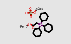 CCCCCCCCOS(=O)(=O)[O-].CCCCCOC(=O)C[P+](C1CCCCC1)(C1CCCCC1)C1CCCCC1